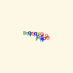 COC(=O)c1ccc2nc(Cc3cc(F)c(-c4cccc(OCc5ccc(Br)nc5F)n4)cc3F)n(C[C@@H]3CCO3)c2c1